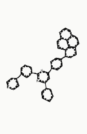 c1ccc(-c2cc(-c3ccc(-c4ccc5ccc6cccc7ccc4c5c67)cc3)nc(-c3cccc(-c4ccncc4)c3)n2)cc1